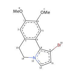 COc1cc2c(cc1OC)-c1c(Br)ccn1CC2